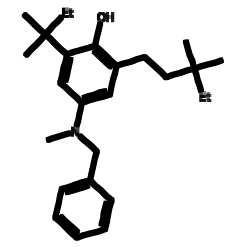 CCC(C)(C)CCc1cc(N(C)Cc2ccccc2)cc(C(C)(C)CC)c1O